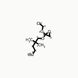 CC(C)(C)CCC(C)(C)COC1(OCCl)CO1